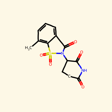 Cc1cccc2c1S(=O)(=O)N(C1CCC(=O)NC1=O)C2=O